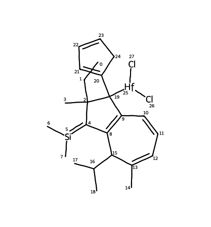 CCC1(C)C(=[Si](C)C)C2=C(C=CC=C(C)C2C(C)C)[C]1(C1=CC=CC1)[Hf]([Cl])[Cl]